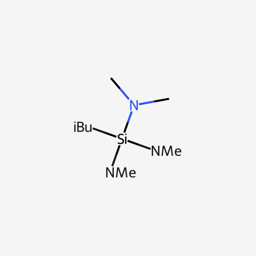 CCC(C)[Si](NC)(NC)N(C)C